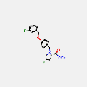 NC(=O)[C@@H]1C[C@H](F)CN1Cc1ccc(OCc2cccc(F)c2)cc1